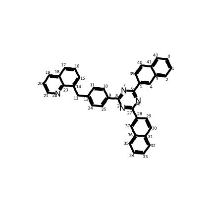 c1ccc2cc(-c3nc(-c4ccc(Cc5cccc6cccnc56)cc4)nc(-c4ccc5ccccc5c4)n3)ccc2c1